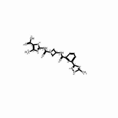 Cc1nc(-c2cccc(C(=O)NC3CN(C(=O)Nc4nc(C)c(C(=O)O)s4)C3)c2)no1